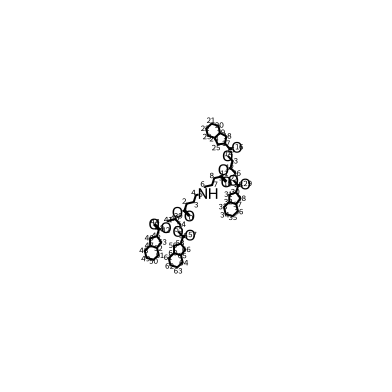 O=C(CCCNCCCC(=O)OC(COC(=O)C1CC2CCCCC2C1)COC(=O)C1CC2CCCCC2C1)OC(COC(=O)C1CC2CCCCC2C1)COC(=O)C1CC2CCCCC2C1